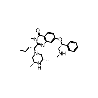 CCC[C@H](c1nc2cc(O[C@@H](CNC)c3ccccc3)ccc2c(=O)n1C)N1C[C@@H](C)N[C@@H](C)C1